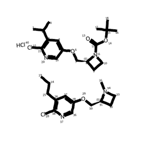 CC(C)c1cc(OC[C@@H]2CCN2C(=O)OC(C)(C)C)cnc1Cl.CCCc1cc(OC[C@@H]2CCN2C)cnc1Cl.Cl